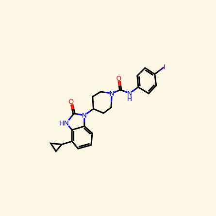 O=C(Nc1ccc(I)cc1)N1CCC(n2c(=O)[nH]c3c(C4CC4)cccc32)CC1